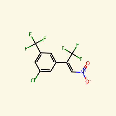 O=[N+]([O-])C=C(c1cc(Cl)cc(C(F)(F)F)c1)C(F)(F)F